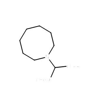 CCCCCCCC(CCCCCC)N1CCCCCCC1